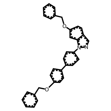 c1ccc(COc2ccc(-c3ccc(-n4ncc5ccc(OCc6ccccc6)cc54)cc3)cc2)cc1